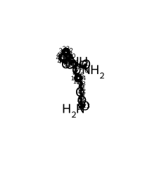 NC(=O)CC[C@@H](COCc1ccc(CCCOCCOCC(N)=O)cc1)NC(=O)[C@@H]1Cc2cccc3c2N1C(=O)CCC3